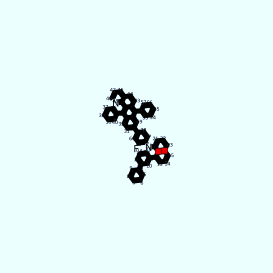 Fc1cc(-c2ccccc2)cc(-c2ccccc2)c1N(c1ccccc1)c1ccc(-c2ccc3c(-c4ccccc4)c4c(ccc5cccnc54)c(-c4ccccc4)c3c2)cc1